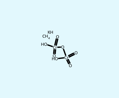 C.[KH].[O]=[Cr](=[O])([OH])[O][Cr](=[O])(=[O])[OH]